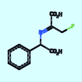 O=C(O)/C(CF)=N/C(C(=O)O)c1ccccc1